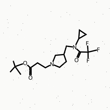 CC(C)(C)OC(=O)CCN1CCC(CN(C(=O)C(F)(F)F)C2CC2)C1